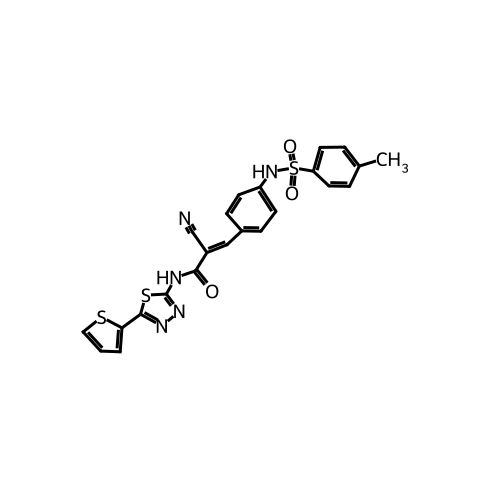 Cc1ccc(S(=O)(=O)Nc2ccc(/C=C(\C#N)C(=O)Nc3nnc(-c4cccs4)s3)cc2)cc1